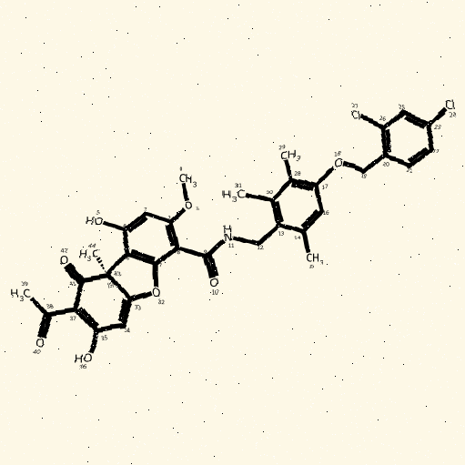 COc1cc(O)c2c(c1C(=O)NCc1c(C)cc(OCc3ccc(Cl)cc3Cl)c(C)c1C)OC1=CC(O)=C(C(C)=O)C(=O)[C@]12C